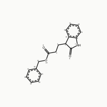 O=C(CCC1C(=O)Nc2ccccc21)OCc1ccccc1